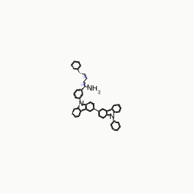 N/C(=C\C=C/Cc1ccccc1)c1cccc(-n2c3ccccc3c3cc(-c4ccc5c(c4)c4ccccc4n5-c4ccccc4)ccc32)c1